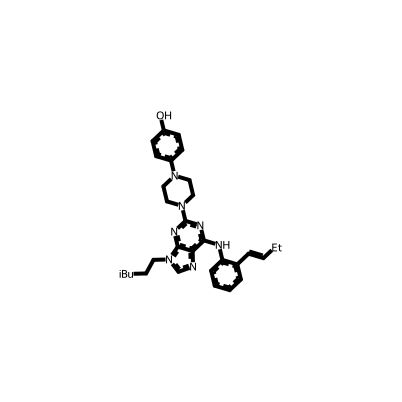 CC/C=C/c1ccccc1Nc1nc(N2CCN(c3ccc(O)cc3)CC2)nc2c1ncn2CCC(C)CC